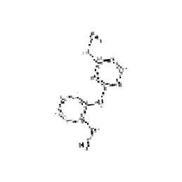 COc1ccccc1Oc1[c]ccc(CN)c1